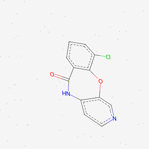 O=C1Nc2ccncc2Oc2c(Cl)cccc21